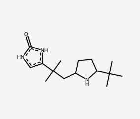 CC(C)(CC1CCC(C(C)(C)C)N1)c1c[nH]c(=O)[nH]1